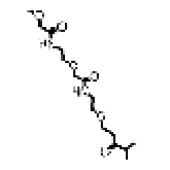 COCC(=O)NCCOCC(=O)NCCOCCC(=O)C(C)C